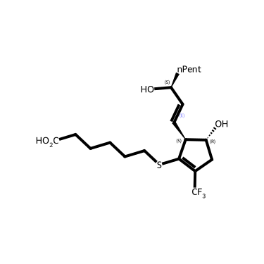 CCCCC[C@H](O)/C=C/[C@@H]1C(SCCCCCC(=O)O)=C(C(F)(F)F)C[C@H]1O